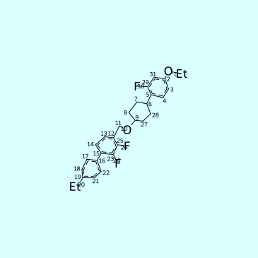 CCOc1ccc(C2CCC(OCc3ccc(-c4ccc(CC)cc4)c(F)c3F)CC2)c(F)c1